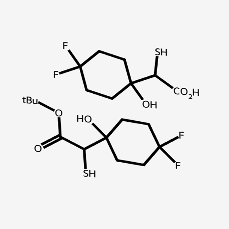 CC(C)(C)OC(=O)C(S)C1(O)CCC(F)(F)CC1.O=C(O)C(S)C1(O)CCC(F)(F)CC1